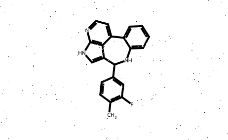 Cc1ccc(C2Nc3ccccc3-c3ccnc4[nH]cc2c34)cc1F